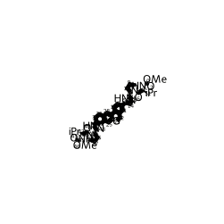 COC(=O)N[C@H](C(=O)N1CCC[C@H]1c1ncc(-c2ccc3c(c2)COc2cc4c(cc2-3)CCc2[nH]c([C@@H]3CCCN3C(=O)[C@@H](NC(=O)OC)C(C)C)nc2-4)[nH]1)C(C)C